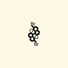 COc1ccc2ccc(CBr)cc2c1-c1c(OC)ccc2ccc(CBr)cc12